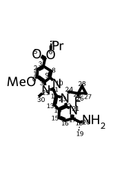 COc1cc(C(=O)OC(C)C)cc2nc(-c3cc4ccc([C@@H](C)N)nc4n3CC3(F)CC3)n(C)c12